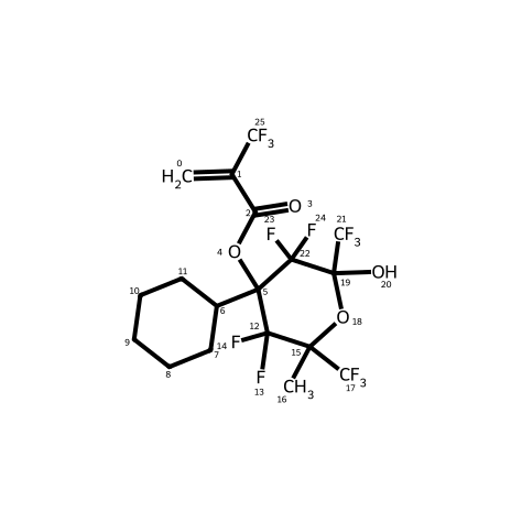 C=C(C(=O)OC1(C2CCCCC2)C(F)(F)C(C)(C(F)(F)F)OC(O)(C(F)(F)F)C1(F)F)C(F)(F)F